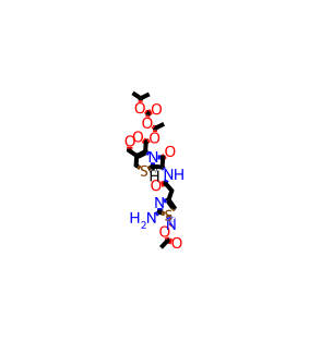 CC(=O)O/N=S1/C=C(CC(=O)NC2C(=O)N3C(C(=O)OC(C)OC(=O)OC(C)C)=C(C=O)CS[C@@H]23)N=C1N